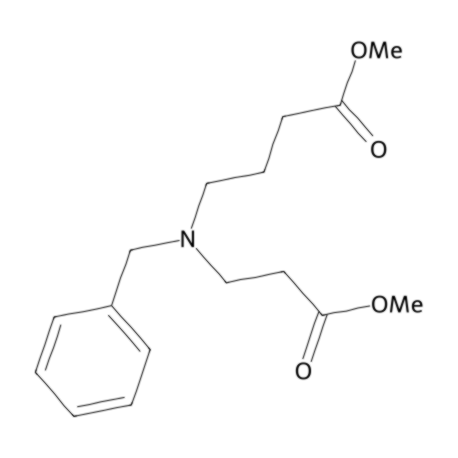 COC(=O)CCCN(CCC(=O)OC)Cc1ccccc1